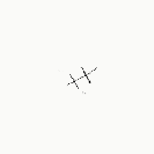 COC(C)(SC)C(F)(F)F